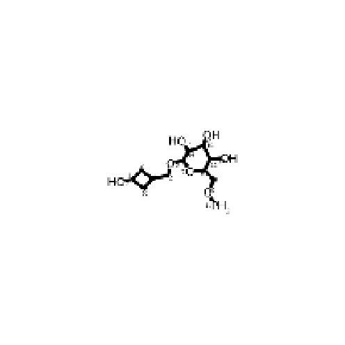 OC1CC(COC2OC(COP)C(O)C(O)C2O)C1